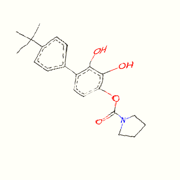 CC(C)(C)c1ccc(-c2ccc(OC(=O)N3CCCC3)c(O)c2O)cc1